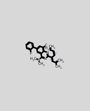 C=C/C=C\C(=C/C(=C)C)c1nc(N(C)C)c2cc(-c3ccccc3F)cc(C)c2n1